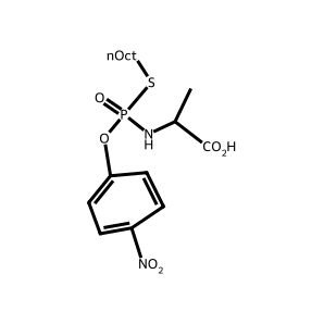 CCCCCCCCSP(=O)(NC(C)C(=O)O)Oc1ccc([N+](=O)[O-])cc1